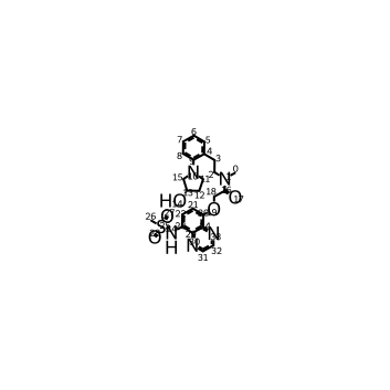 CN(CCc1ccccc1N1CC[C@H](O)C1)C(=O)COc1ccc(NS(C)(=O)=O)c2nccnc12